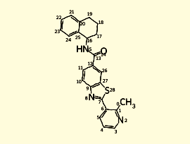 Cc1ncccc1-c1nc2ccc(C(=O)NC3CCCc4ccccc43)cc2s1